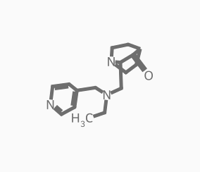 CCN(Cc1ccncc1)CC1C(=O)C2CCN1CC2